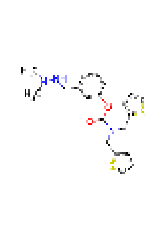 CN(C)NCc1cccc(OC(=O)N(Cc2cccs2)Cc2cccs2)c1